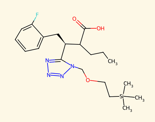 CCCC(C(=O)O)[C@H](Cc1ccccc1F)c1nnnn1COCC[Si](C)(C)C